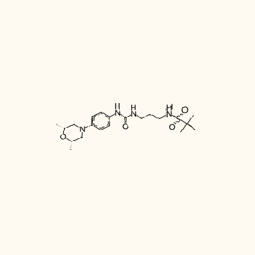 C[C@@H]1CN(c2ccc(NC(=O)NCCCNS(=O)(=O)C(C)(C)C)cc2)C[C@H](C)O1